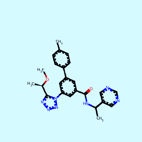 CO[C@H](C)c1nnnn1-c1cc(C(=O)NC(C)c2cncnc2)cc(-c2ccc(C)cc2)c1